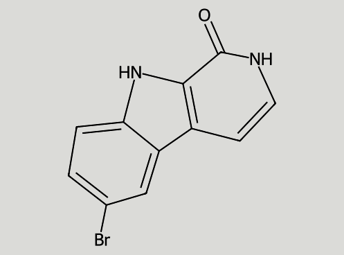 O=c1[nH]ccc2c1[nH]c1ccc(Br)cc12